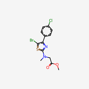 COC(=O)CN(C)c1nc(-c2ccc(Cl)cc2)c(Br)s1